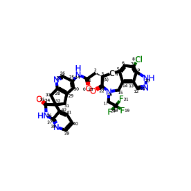 O=C(C[C@@H]1Cc2cc(Cl)c3[nH]ncc3c2CN(CC(F)(F)F)C1=O)Nc1cnc2c(c1)CC1(C2)C(=O)Nc2ncccc21